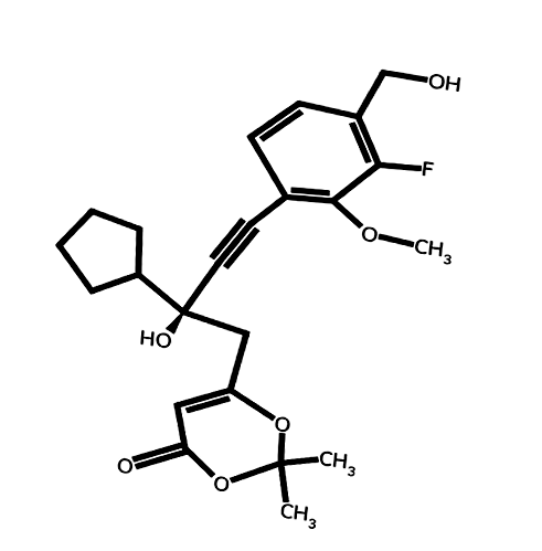 COc1c(C#C[C@](O)(CC2=CC(=O)OC(C)(C)O2)C2CCCC2)ccc(CO)c1F